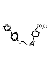 CCOC(=O)N1CCC([C@H]2C[C@H]2CCOc2ccc(-n3cnnn3)cc2)CC1